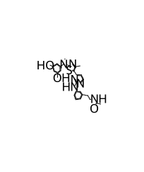 CC(=O)NCCc1cccc(Nc2nccc(-c3sc(N(C)c4cc(O)cc(O)c4)nc3C)n2)c1